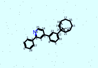 c1ccc(-c2cc(-c3cccc(C4CC5CCCC(CCC5)C4)c3)ccn2)cc1